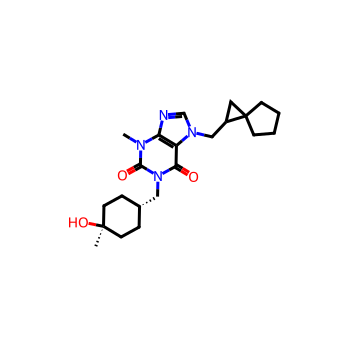 Cn1c(=O)n(C[C@H]2CC[C@](C)(O)CC2)c(=O)c2c1ncn2CC1CC12CCCC2